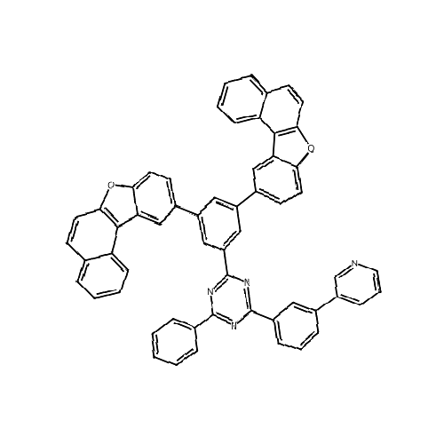 c1ccc(-c2nc(-c3cccc(-c4cccnc4)c3)nc(-c3cc(-c4ccc5oc6ccc7ccccc7c6c5c4)cc(-c4ccc5oc6ccc7ccccc7c6c5c4)c3)n2)cc1